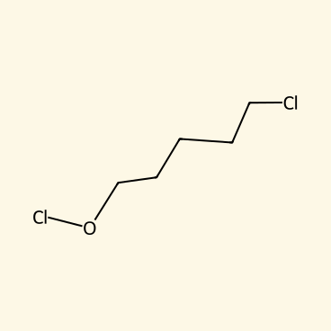 ClCCCCCOCl